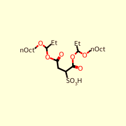 CCCCCCCCOC(CC)OC(=O)CC(C(=O)OC(CC)OCCCCCCCC)S(=O)(=O)O